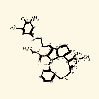 CCOC(=O)c1c(CCCOc2cc(C)c(Cl)c(C)c2)c2ccc(F)c3c2n1Cc1ccccc1COCc1nn(C)c(C)c1-3